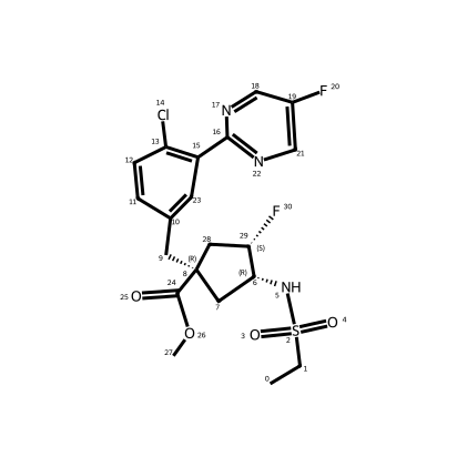 CCS(=O)(=O)N[C@@H]1C[C@@](Cc2ccc(Cl)c(-c3ncc(F)cn3)c2)(C(=O)OC)C[C@@H]1F